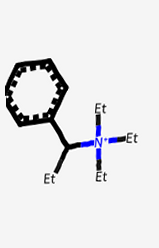 CCC(c1ccccc1)[N+](CC)(CC)CC